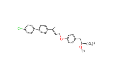 CCO[C@@H](Cc1ccc(OC/C=C(\C)c2ccc(-c3ccc(Cl)cc3)cc2)cc1)C(=O)O